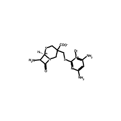 CC[n+]1c(N)cc(N)nc1SCC1(C(=O)[O-])CS[C@@H]2C(N)C(=O)N2C1